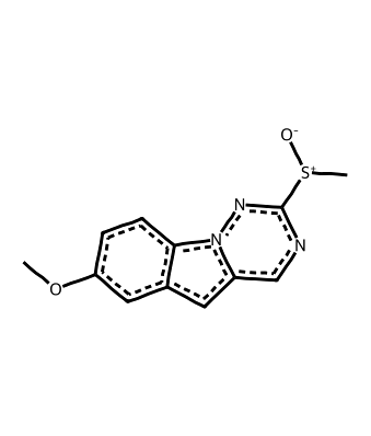 COc1ccc2c(c1)cc1cnc([S+](C)[O-])nn12